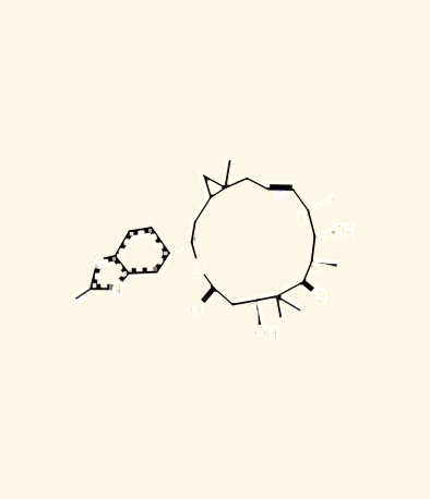 Cc1nc2cc([C@@H]3CC4CC4(C)C/C=C/[C@H](C)[C@H](O)[C@@H](C)C(=O)C(C)(C)[C@@H](O)CC(=O)O3)ccc2s1